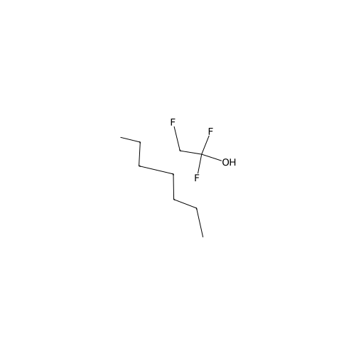 CCCCCCC.OC(F)(F)CF